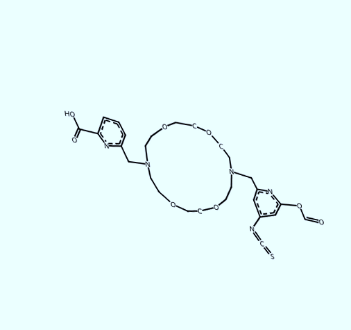 O=COc1cc(N=C=S)cc(CN2CCOCCOCCN(Cc3cccc(C(=O)O)n3)CCOCCOCC2)n1